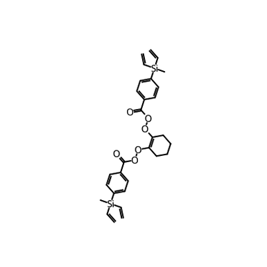 C=C[Si](C)(C=C)c1ccc(C(=O)OOC2=C(OOC(=O)c3ccc([Si](C)(C=C)C=C)cc3)CCCC2)cc1